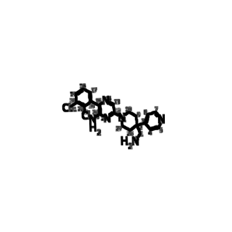 NCC1(c2ccncc2)CCN(c2cnc(-c3cccc(Cl)c3Cl)c(N)n2)CC1